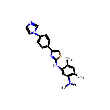 CCN(CC)c1cc(Nc2nc(-c3ccc(-n4ccnc4)cc3)cs2)c(C)cc1C